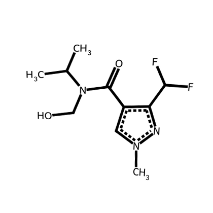 CC(C)N(CO)C(=O)c1cn(C)nc1C(F)F